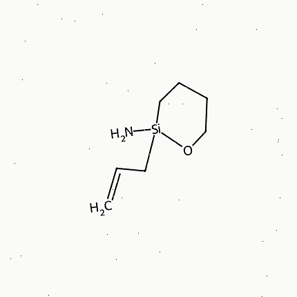 C=CC[Si]1(N)CCCCO1